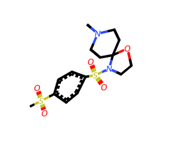 CN1CCC2(CC1)OCCN2S(=O)(=O)c1ccc(S(C)(=O)=O)cc1